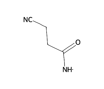 N#CCCC([NH])=O